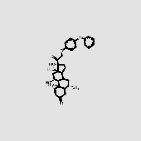 C[C@H]1CC2C([C@@H](O)CC3(C)C2CC[C@]3(O)C(=O)COc2ccc(Oc3ccccc3)cc2)C2(C)C=CC(=O)C=C12